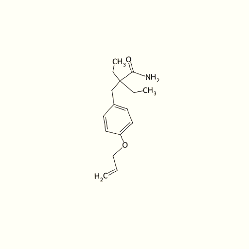 C=CCOc1ccc(CC(CC)(CC)C(N)=O)cc1